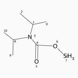 CC(C)N(C(=O)O[SiH3])C(C)C